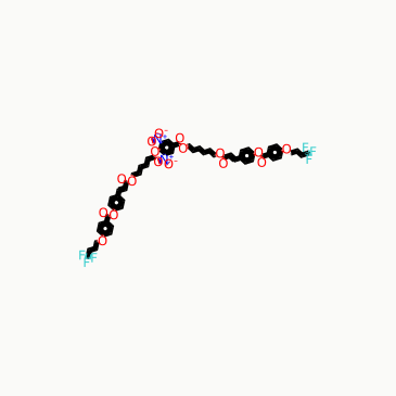 O=C(C=Cc1ccc(OC(=O)c2ccc(OCCCC(F)(F)F)cc2)cc1)OCCCCCCOC(=O)c1cc([N+](=O)[O-])c(OCCCCCCOC(=O)C=Cc2ccc(OC(=O)c3ccc(OCCCC(F)(F)F)cc3)cc2)c([N+](=O)[O-])c1